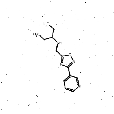 CCC(CC)NCc1nc(-c2cccnc2)no1